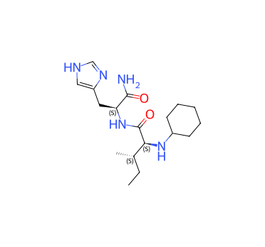 CC[C@H](C)[C@H](NC1CCCCC1)C(=O)N[C@@H](Cc1c[nH]cn1)C(N)=O